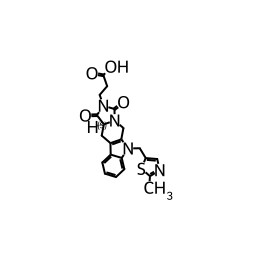 Cc1ncc(Cn2c3c(c4ccccc42)C[C@H]2C(=O)N(CCC(=O)O)C(=O)N2C3)s1